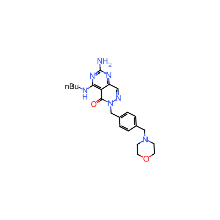 CCCCNc1nc(N)nc2cnn(Cc3ccc(CN4CCOCC4)cc3)c(=O)c12